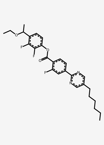 CCCCCCc1cnc(-c2ccc(C(=O)Oc3ccc(C(C)OCC)c(F)c3F)c(F)c2)nc1